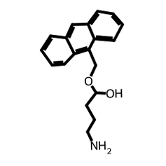 NCCCC(O)OCc1c2ccccc2cc2ccccc12